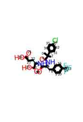 CC(C)(C(=O)N[C@@H](Cc1ccc(C(F)(F)F)cc1)C(=O)N[C@H](CCC(=O)O)C(=O)O)c1ccc(Cl)cc1